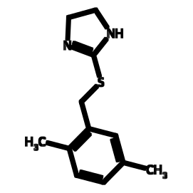 Cc1ccc(C)c(CSC2=NCCN2)c1